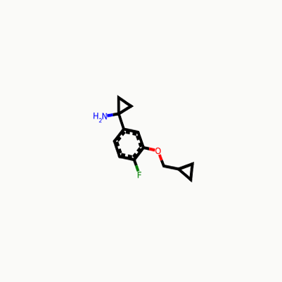 NC1(c2ccc(F)c(OCC3CC3)c2)CC1